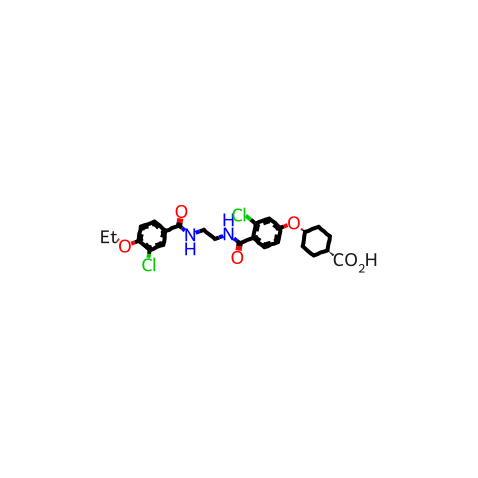 CCOc1ccc(C(=O)NCCNC(=O)c2ccc(O[C@H]3CC[C@@H](C(=O)O)CC3)cc2Cl)cc1Cl